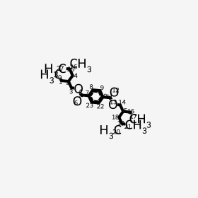 CCC(COC(=O)c1ccc(C(=O)OCC(CC)CC(C)C)cc1)CC(C)C